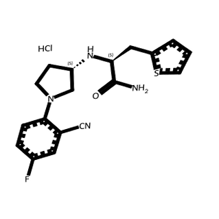 Cl.N#Cc1cc(F)ccc1N1CC[C@H](N[C@@H](Cc2cccs2)C(N)=O)C1